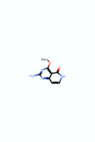 CCCC(C)Oc1nc(N)nc2cc[nH]c(=O)c12